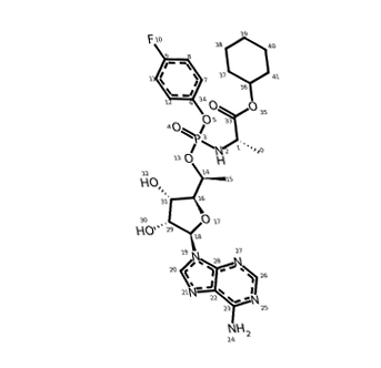 C[C@H](NP(=O)(Oc1ccc(F)cc1)O[C@@H](C)[C@H]1O[C@@H](n2cnc3c(N)ncnc32)[C@H](O)[C@@H]1O)C(=O)OC1CCCCC1